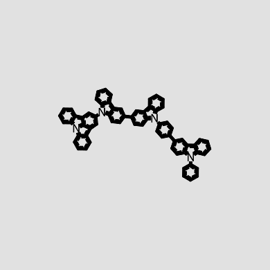 c1ccc(-n2c3ccccc3c3cc(-c4ccc(-n5c6ccccc6c6cc(-c7ccc8c(c7)c7ccccc7n8-c7cc8c9ccccc9n9c%10ccccc%10c(c7)c89)ccc65)cc4)ccc32)cc1